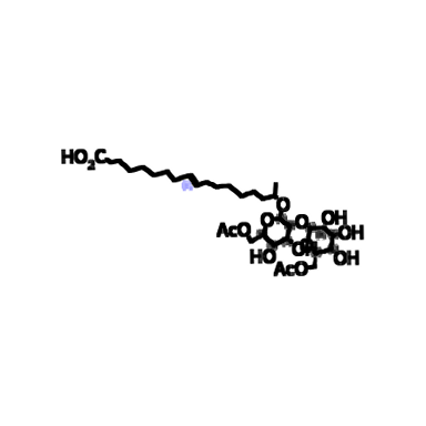 CC(=O)OC[C@H]1O[C@@H](O[C@H]2[C@H](OC(C)CCCCCC/C=C/CCCCCCCC(=O)O)O[C@H](COC(C)=O)[C@@H](O)[C@@H]2O)[C@H](O)[C@@H](O)[C@@H]1O